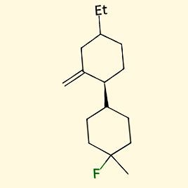 C=C1CC(CC)CC[C@H]1C1CCC(C)(F)CC1